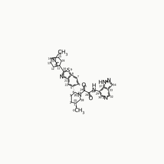 C[C@H]1CC[C@H](c2ccc3sc(C45CCC(CC4)N(C)C5)nc3c2)N(C(=O)C(=O)Nc2cncc3cn[nH]c23)C1